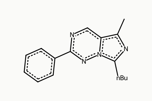 CCCCc1nc(C)c2cnc(-c3ccccc3)nn12